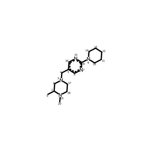 CC1CN(Cc2cnc(N3CCCCC3)nc2)CCN1C